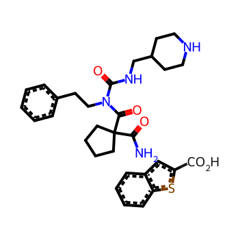 NC(=O)C1(C(=O)N(CCc2ccccc2)C(=O)NCC2CCNCC2)CCCC1.O=C(O)c1cc2ccccc2s1